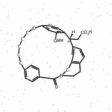 COc1cc2ncc1[C@H](CC(=O)O)c1ccc3c(c1)CN(CC3)C(=O)c1ccc(cc1)CCCCCO2